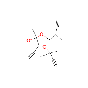 C#CC(C)COC(C)([O])C(C#C)OC(C)(C)C#C